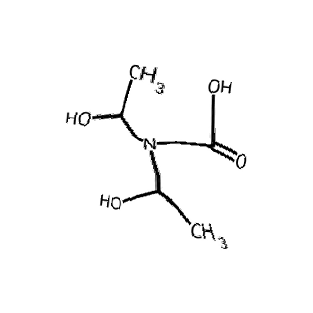 CC(O)N(C(=O)O)C(C)O